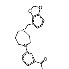 NC(=O)c1[c]ccc(N2CCCN(Cc3cccc4c3OCO4)CC2)n1